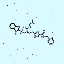 CC(C)COC(=O)N(CCc1nc(C(=O)NCc2ncccc2F)cs1)CC(C)(C)c1nc2ccccc2[nH]1